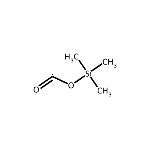 C[Si](C)(C)O[C]=O